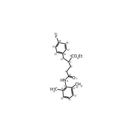 CCOC(=O)C(CCC(=O)Nc1c(C)cccc1C)Cc1ccc(F)cc1